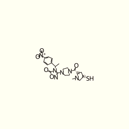 CC(c1ccc([N+](=O)[O-])cc1)n1c(N2CCN(C(=O)[C@@H]3C[C@H](S)CN3C)CC2)noc1=O